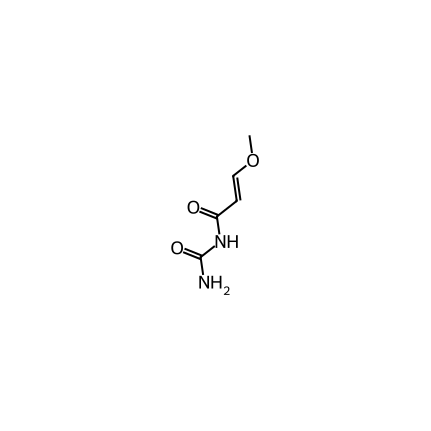 COC=CC(=O)NC(N)=O